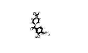 COc1cc(C(=O)N2CCN(C(C)=O)CC2)ccc1N